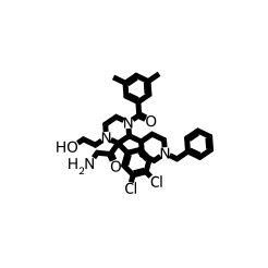 Cc1cc(C)cc(C(=O)N2CCN(CCO)C(C(=O)CN)(c3ccc(Cl)c(Cl)c3)C2C2CCN(Cc3ccccc3)CC2)c1